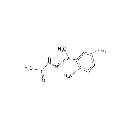 CC(=O)N/N=C(\C)c1cc(C)ccc1N